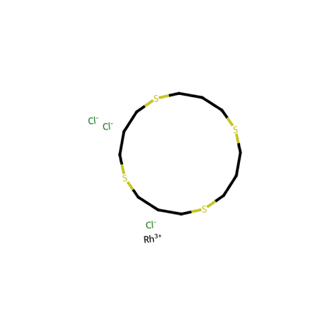 C1CSCCCSCCCSCCCSC1.[Cl-].[Cl-].[Cl-].[Rh+3]